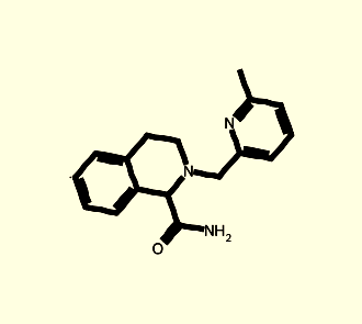 Cc1cccc(CN2CCc3c[c]ccc3C2C(N)=O)n1